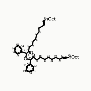 CCCCCCCCC=CCCCCCCCC(=O)C(OC(C(=O)CCCCCCCC=CCCCCCCCC)c1ccccc1)c1ccccc1